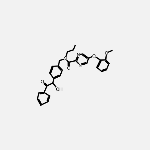 CCCN(Cc1ccc(C(O)C(=O)c2ccccc2)cc1)C(=O)c1ncc(Oc2ccccc2OC)cn1